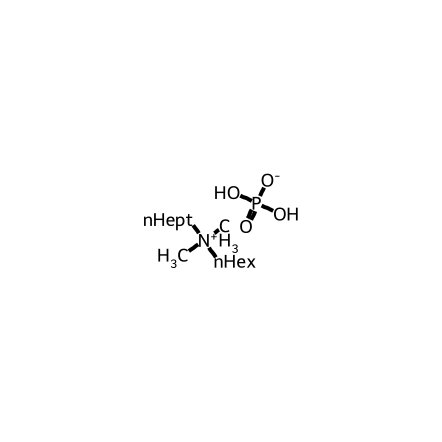 CCCCCCC[N+](C)(C)CCCCCC.O=P([O-])(O)O